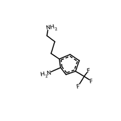 NCCCc1ccc(C(F)(F)F)cc1N